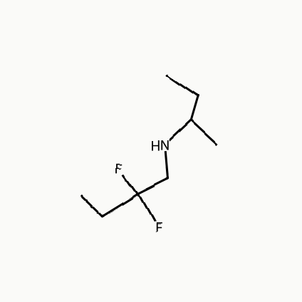 CCC(C)NCC(F)(F)CC